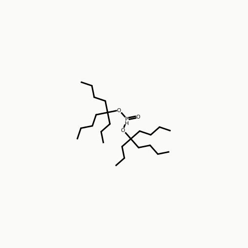 CCCCC(CCC)(CCCC)O[PH](=O)OC(CCC)(CCCC)CCCC